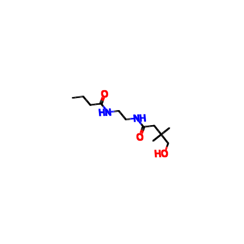 CCCC(=O)NCCNC(=O)CC(C)(C)CO